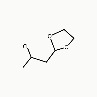 CC(Cl)CC1OCCO1